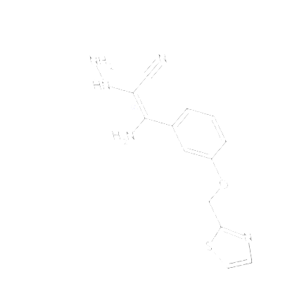 N#C/C(NN)=C(/N)c1cccc(OCc2nccs2)c1